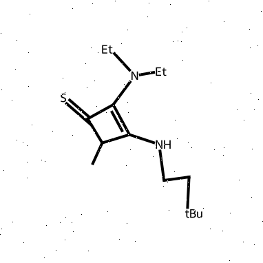 CCN(CC)C1=C(NCCC(C)(C)C)C(C)C1=S